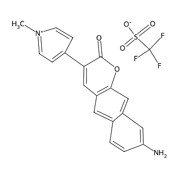 C[n+]1ccc(-c2cc3cc4ccc(N)cc4cc3oc2=O)cc1.O=S(=O)([O-])C(F)(F)F